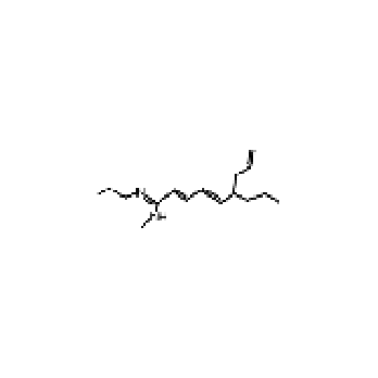 C=CCC(C=C/C=C/C(=N/CCC)NC)CCC